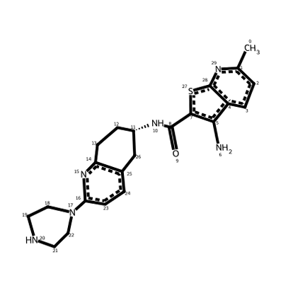 Cc1ccc2c(N)c(C(=O)N[C@H]3CCc4nc(N5CCNCC5)ccc4C3)sc2n1